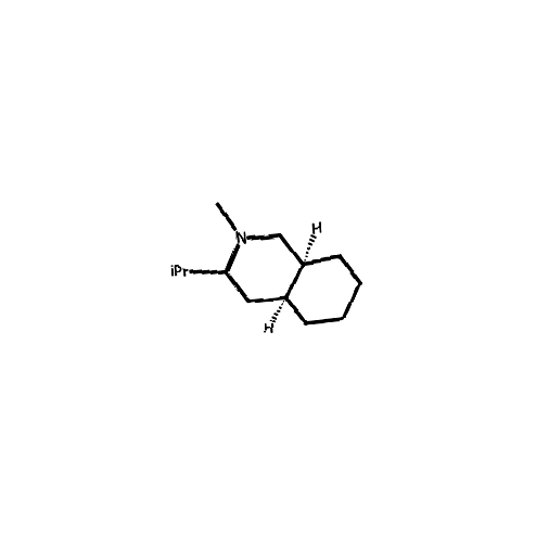 CC(C)C1C[C@@H]2CCCC[C@@H]2CN1C